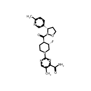 Cc1ccc([C@@H]2CCON2C(=O)[C@@H]2CCN(c3ncc(C)c(C(N)=O)n3)C[C@H]2F)cn1